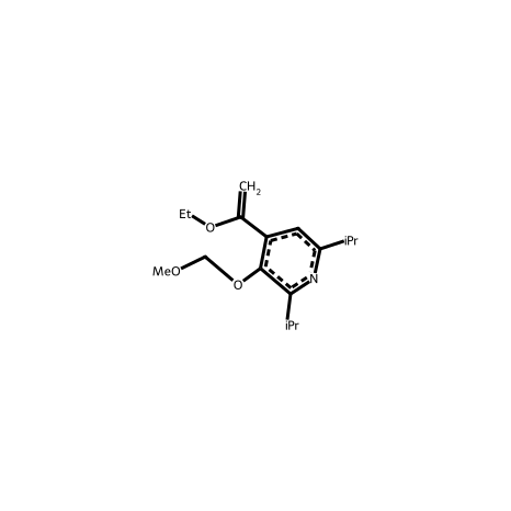 C=C(OCC)c1cc(C(C)C)nc(C(C)C)c1OCOC